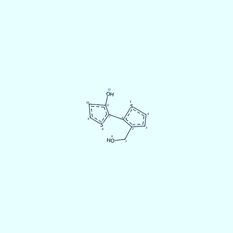 OCc1ccsc1-c1sccc1O